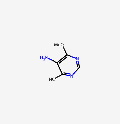 COc1ncnc(C#N)c1N